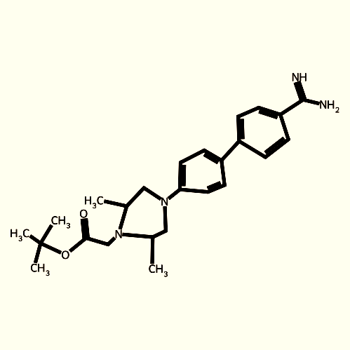 CC1CN(c2ccc(-c3ccc(C(=N)N)cc3)cc2)CC(C)N1CC(=O)OC(C)(C)C